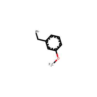 C[C](C)Cc1cccc(OC(F)(F)F)c1